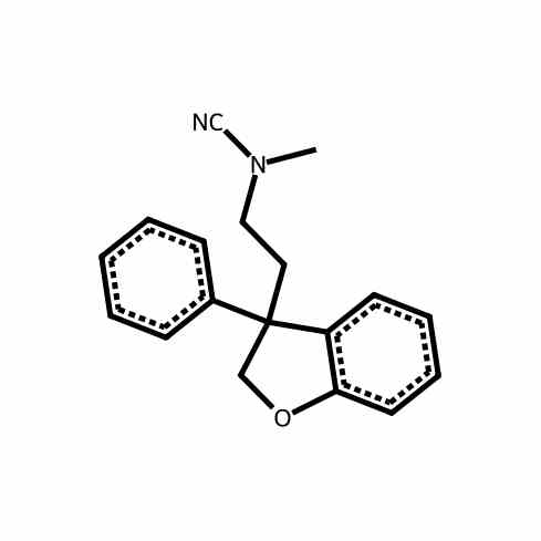 CN(C#N)CCC1(c2ccccc2)COc2ccccc21